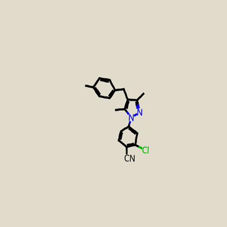 Cc1ccc(Cc2c(C)nn(-c3ccc(C#N)c(Cl)c3)c2C)cc1